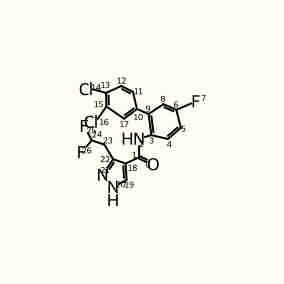 O=C(Nc1ccc(F)cc1-c1ccc(Cl)c(Cl)c1)c1c[nH]nc1CC(F)F